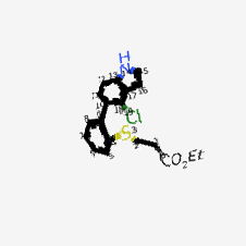 CCOC(=O)CCSc1ccccc1-c1ccc2[nH]ccc2c1Cl